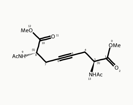 COC(=O)[C@H](CC#CC[C@H](NC(C)=O)C(=O)OC)NC(C)=O